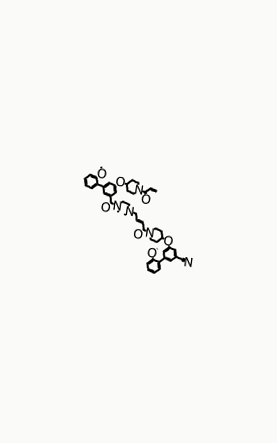 C=CC(=O)N1CCC(Oc2cc(C(=O)N(C)CCN(C)C/C=C/C(=O)N3CCC(Oc4cc(C#N)cc(-c5ccccc5OC)c4)CC3)cc(-c3ccccc3OC)c2)CC1